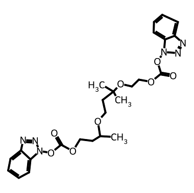 CC(CCOC(=O)On1nnc2ccccc21)OCCC(C)(C)OCCOC(=O)On1nnc2ccccc21